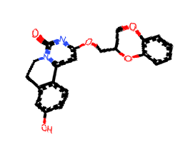 O=c1nc(OCC2COc3ccccc3O2)cc2n1CCc1cc(O)ccc1-2